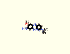 CCOC1=C/C(=N/c2ccc(N(CC)C(C)C)cc2)C(N)=CC1=N